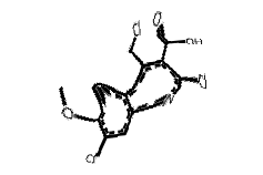 COc1cc2c(CCl)c(C(=O)O)c(Cl)nc2cc1Cl